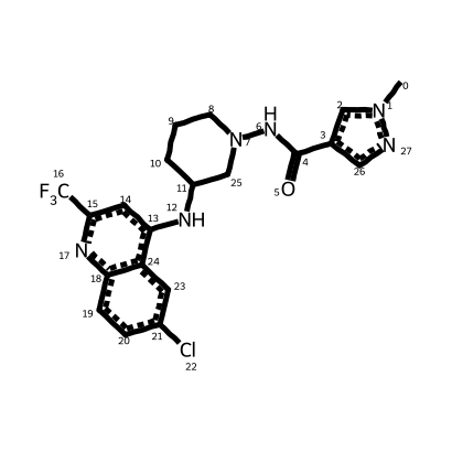 Cn1cc(C(=O)NN2CCCC(Nc3cc(C(F)(F)F)nc4ccc(Cl)cc34)C2)cn1